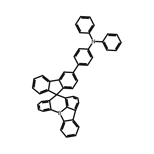 c1ccc(N(c2ccccc2)c2ccc(-c3ccc4c(c3)-c3ccccc3C43c4ccccc4B4c5ccccc5-c5cccc3c54)cc2)cc1